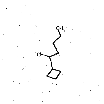 [CH2]CCCC(Cl)C1CCC1